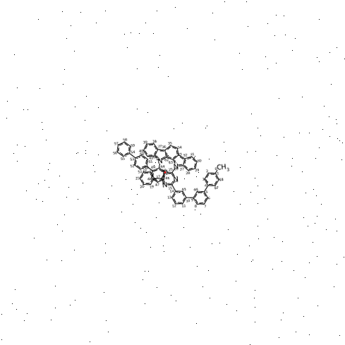 Cc1ccc(-c2cccc(-c3cccc(-c4nc(-c5ccccc5)nc(-n5c6ccccc6c6ccc7c8ccccc8n(-c8ccccc8-c8ccc(-c9ccccc9)cc8)c7c65)n4)c3)c2)cc1